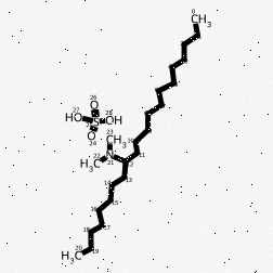 CCCCCCCCCCCCC(CCCCCCCC)N(C)C.O=S(=O)(O)O